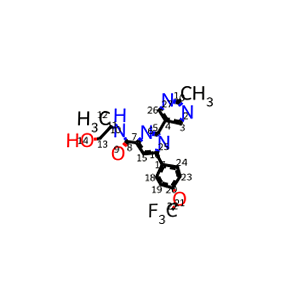 Cc1ncc(-c2nc(C(=O)NC(C)CO)cc(-c3ccc(OC(F)(F)F)cc3)n2)cn1